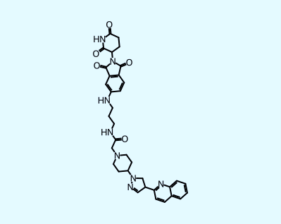 O=C(CN1CCC(N2CC(c3ccc4ccccc4n3)C=N2)CC1)NCCCNc1ccc2c(c1)C(=O)N(C1CCC(=O)NC1=O)C2=O